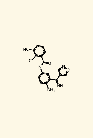 N#Cc1cccc(C(=O)Nc2ccc(N)c(C(=N)c3cnoc3)c2)c1Cl